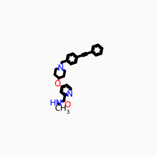 CNC(=O)c1cc(OC2CCN(Cc3ccc(C#Cc4ccccc4)cc3)CC2)ccn1